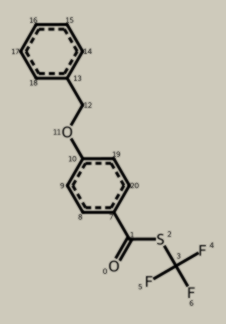 O=C(SC(F)(F)F)c1ccc(OCc2ccccc2)cc1